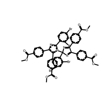 COC(=O)c1ccc(C2=NC(c3ccc(Br)cc3Br)(n3c(-c4ccc(Br)cc4Br)nc(-c4ccc(C(=O)OC)cc4)c3-c3ccc(C(=O)OC)cc3)N=C2c2ccc(C(=O)OC)cc2)cc1